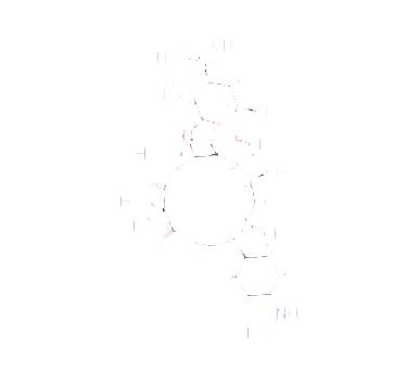 CNC1CCC([C@H]2COC(=O)C(C)(C)C(=O)[C@H](C)[C@@H](O[C@@H]3O[C@H](C)C[C@H](N(C)C)[C@H]3O)[C@](C)(OC)C[C@@H](C)CN2C)CC1